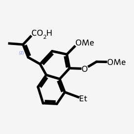 CCc1cccc2c(/C=C(/C)C(=O)O)cc(OC)c(OCOC)c12